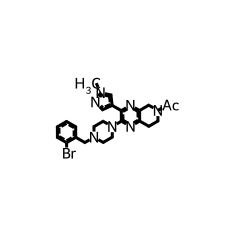 CC(=O)N1CCc2nc(N3CCN(Cc4ccccc4Br)CC3)c(-c3cnn(C)c3)nc2C1